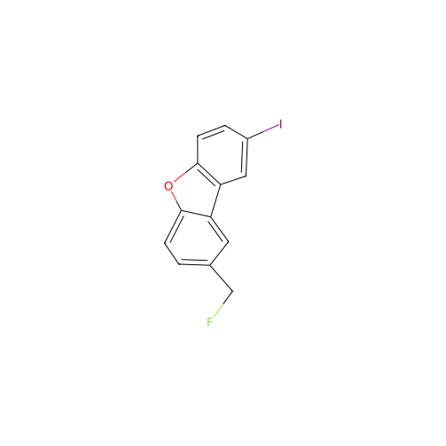 FCc1ccc2oc3ccc(I)cc3c2c1